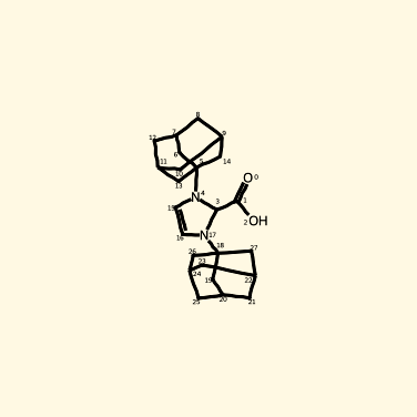 O=C(O)C1N(C23CC4CC(CC(C4)C2)C3)C=CN1C12CC3CC(CC(C3)C1)C2